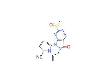 C=CCn1c(=O)c2cnc([S+](C)[O-])nc2n1-c1cccc(C#N)n1